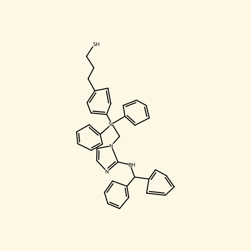 SCCCc1ccc([Si](Cn2ccnc2BC(c2ccccc2)c2ccccc2)(c2ccccc2)c2ccccc2)cc1